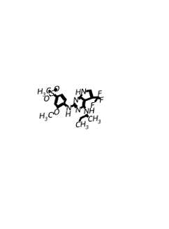 CCC(C)Nc1nc(Nc2ccc(S(C)(=O)=O)cc2OC)nc2[nH]cc(C(F)(F)F)c12